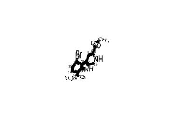 CC1OC(C2Cc3c([nH]c4c(C(N)=O)ccc(Br)c34)CN2)O1